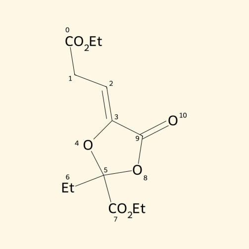 CCOC(=O)C/C=C1\OC(CC)(C(=O)OCC)OC1=O